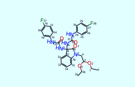 CCOC(CN1C(=O)C(NC(=O)Nc2ccc(F)cc2)(NC(=O)Nc2ccc(F)cc2)c2ccccc21)OCC